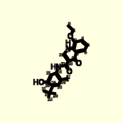 CCOc1cccc2c(=O)c(C(=O)Nc3cc(O)c(C(C)(C)C)cc3F)c[nH]c12